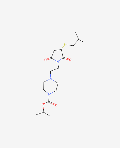 CC(C)CSC1CC(=O)N(CCN2CCN(C(=O)OC(C)C)CC2)C1=O